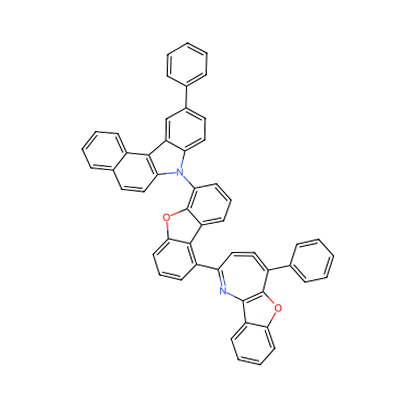 C1=CC(c2cccc3oc4c(-n5c6ccc(-c7ccccc7)cc6c6c7ccccc7ccc65)cccc4c23)=Nc2c(oc3ccccc23)C=1c1ccccc1